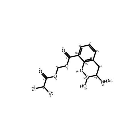 CCC(CC)C(=O)OCOC(=O)c1cccc2c1OB(O)C(NC(C)=O)C2